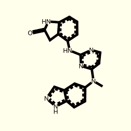 CN(c1ccc2[nH]ncc2c1)c1ccnc(Nc2cccc3c2CC(=O)N3)n1